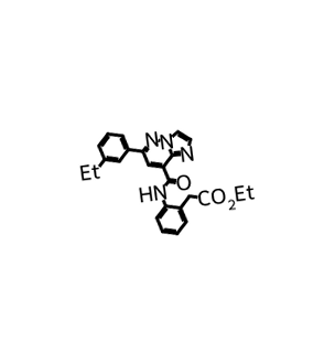 CCOC(=O)Cc1ccccc1NC(=O)c1cc(-c2cccc(CC)c2)nn2ccnc12